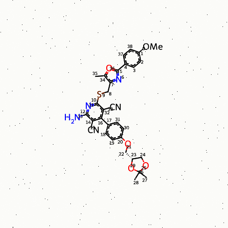 COc1ccc(-c2nc(CSc3nc(N)c(C#N)c(-c4ccc(OC[C@@H]5COC(C)(C)O5)cc4)c3C#N)c(C)o2)cc1